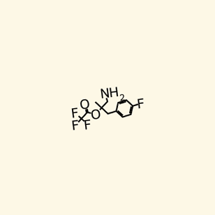 CC(CN)(Cc1ccc(F)cc1)OC(=O)C(F)(F)F